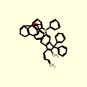 C=C/C=C\C1=C(C)C(c2ccccc2)(c2ccccc2)c2cc(N(c3ccccc3)c3cccc4c3-c3c5cccc3-c3ccccc3C3=C5CCC=C34)ccc21